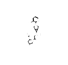 N#C[C@@H]1C[C@H](F)CN1C(=O)CNC1C2CN(c3ncccc3Cl)CC21